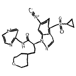 [C-]#[N+]c1cc(S(=O)(=O)C2CC2)c2cnn(C(CC3CCOCC3)C(=O)Nc3cnccn3)c2c1